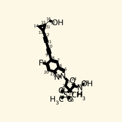 CC(CCn1cc2cc(C#CC#CC3C[C@@H]3CO)c(F)cc2n1)(C(=O)NO)S(C)(=O)=O